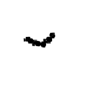 O=C(Nc1ccc2[nH]ccc2c1)c1ccc(-c2cccc(C(=O)Nc3ccc(N4CCOCC4)cc3)c2)cc1